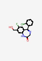 O=C1CN=C(c2ccccc2Cl)c2cc(F)c(CO)cc2N1